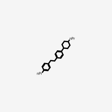 CCCc1ccc(CCc2ccc(C3CCC(CCC)CC3)cc2)cc1